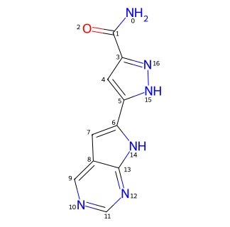 NC(=O)c1cc(-c2cc3cncnc3[nH]2)[nH]n1